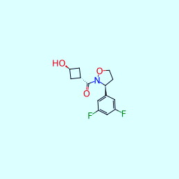 O=C([C@H]1C[C@H](O)C1)N1OCC[C@H]1c1cc(F)cc(F)c1